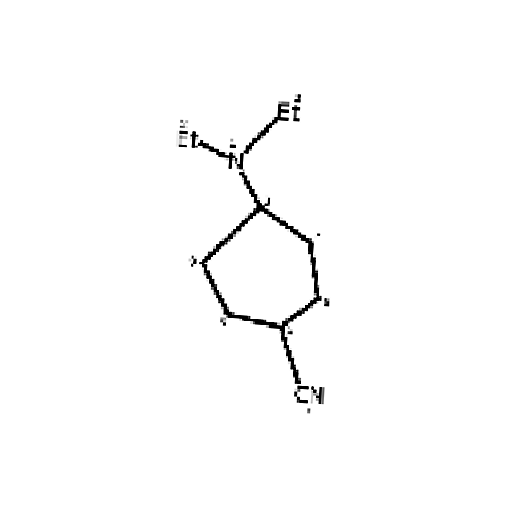 CCN(CC)C1CCC(C#N)CC1